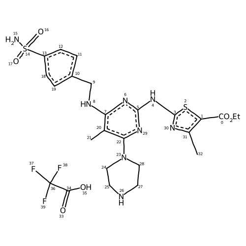 CCOC(=O)c1sc(Nc2nc(NCc3ccc(S(N)(=O)=O)cc3)c(C)c(N3CCNCC3)n2)nc1C.O=C(O)C(F)(F)F